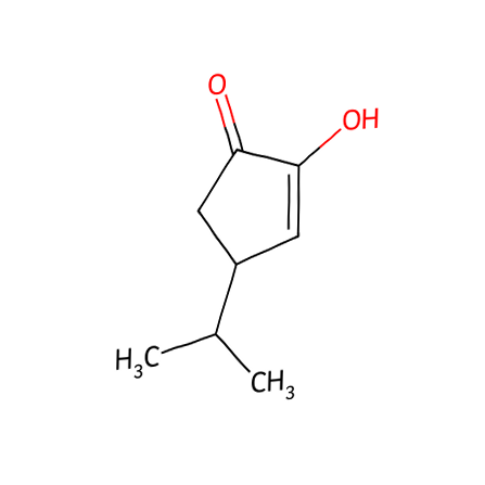 CC(C)C1C=C(O)C(=O)C1